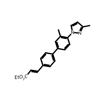 CCOC(=O)/C=C/c1ccc(-c2ccc(-n3ccc(C)n3)c(C)c2)cc1